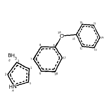 B.c1cc[nH]c1.c1ccc(Oc2ccccc2)cc1